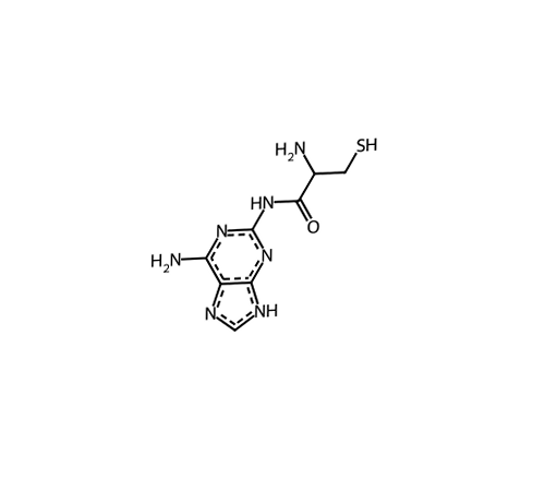 Nc1nc(NC(=O)C(N)CS)nc2[nH]cnc12